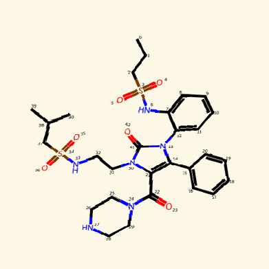 CCCS(=O)(=O)Nc1ccccc1-n1c(-c2ccccc2)c(C(=O)N2CCNCC2)n(CCNS(=O)(=O)CC(C)C)c1=O